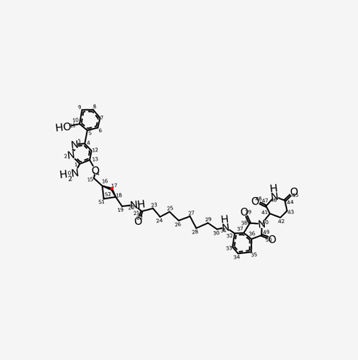 Nc1nnc(-c2ccccc2O)cc1OCC12CC(CNC(=O)CCCCCCCCNc3cccc4c3C(=O)N(C3CCC(=O)NC3=O)C4=O)(C1)C2